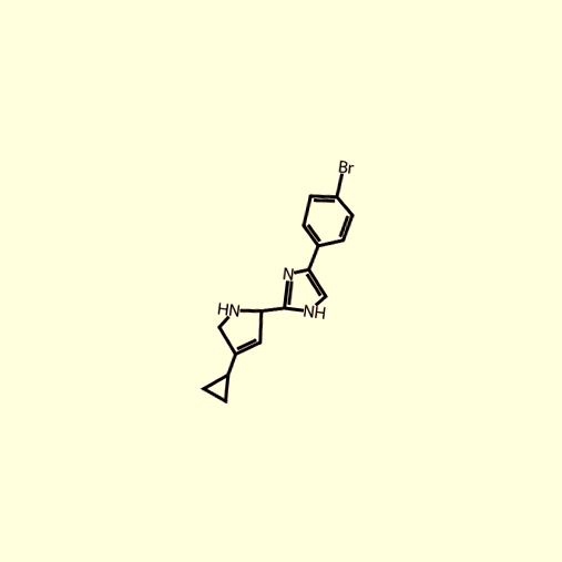 Brc1ccc(-c2c[nH]c(C3C=C(C4CC4)CN3)n2)cc1